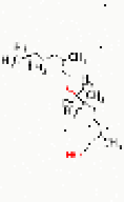 CCC(C)C(C)(C)CCCC(C)CCOC(C)(CC)C(C)(C)CCCC(C)CCO